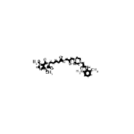 Cc1cccc(C)c1NC(=O)CN1CCN(CC(O)COC(=O)CCCCn2c(=O)c3c(ncn3C)n(C)c2=O)CC1